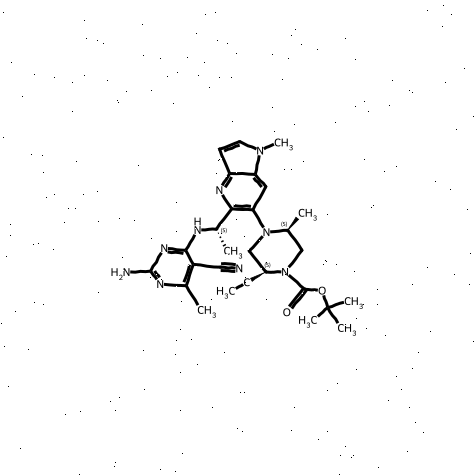 CC[C@H]1CN(c2cc3c(ccn3C)nc2[C@H](C)Nc2nc(N)nc(C)c2C#N)[C@@H](C)CN1C(=O)OC(C)(C)C